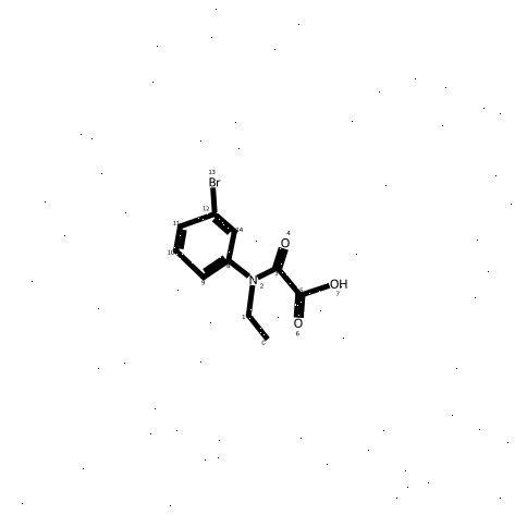 CCN(C(=O)C(=O)O)c1cccc(Br)c1